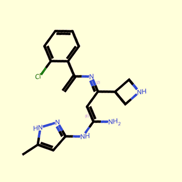 C=C(/N=C(\C=C(/N)Nc1cc(C)[nH]n1)C1CNC1)c1ccccc1Cl